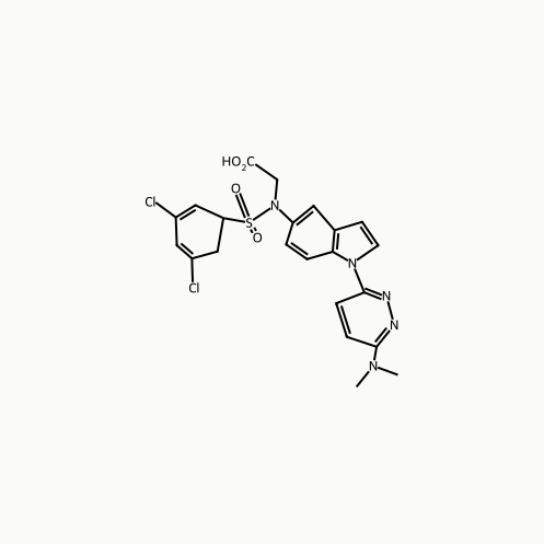 CN(C)c1ccc(-n2ccc3cc(N(CC(=O)O)S(=O)(=O)C4C=C(Cl)C=C(Cl)C4)ccc32)nn1